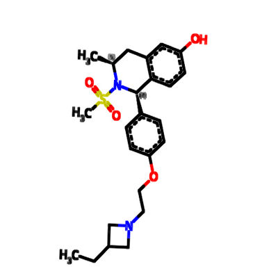 CCC1CN(CCOc2ccc([C@@H]3c4ccc(O)cc4C[C@H](C)N3S(C)(=O)=O)cc2)C1